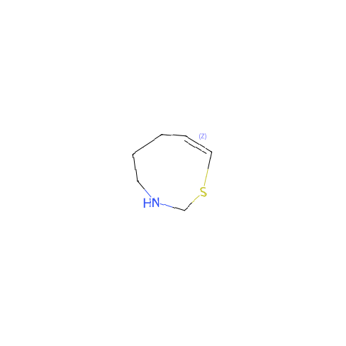 C1=C\SCNCCC/1